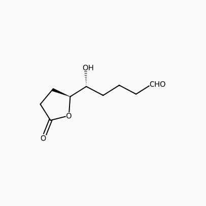 O=CCCC[C@@H](O)[C@@H]1CCC(=O)O1